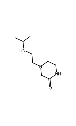 CC(C)NCCN1CCNC(=O)C1